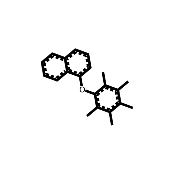 Cc1c(C)c(C)c(Oc2cccc3ccccc23)c(C)c1C